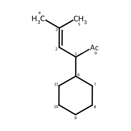 CC(=O)C(C=C(C)C)C1CCCCC1